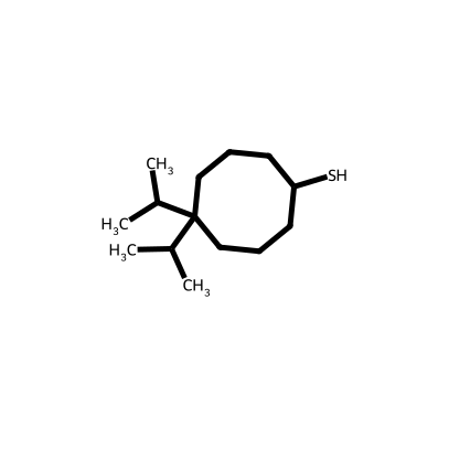 CC(C)C1(C(C)C)CCCC(S)CCC1